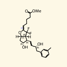 COC(=O)CCC/C=C1/O[C@H]2C[C@@H](O)[C@H](C=C[C@H](O)Cc3cccc(C)c3)[C@H]2C1(F)F